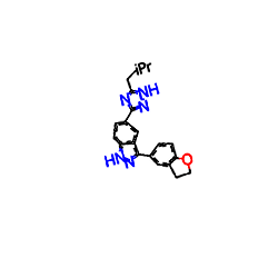 CC(C)Cc1nc(-c2ccc3[nH]nc(-c4ccc5c(c4)CCO5)c3c2)n[nH]1